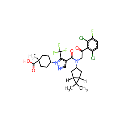 CC1(C)[C@@H]2C[C@H](N(CC(=O)c3c(Cl)ccc(F)c3Cl)C(=O)c3cnn([C@H]4CC[C@](C)(C(=O)O)CC4)c3C(F)(F)F)C[C@@H]21